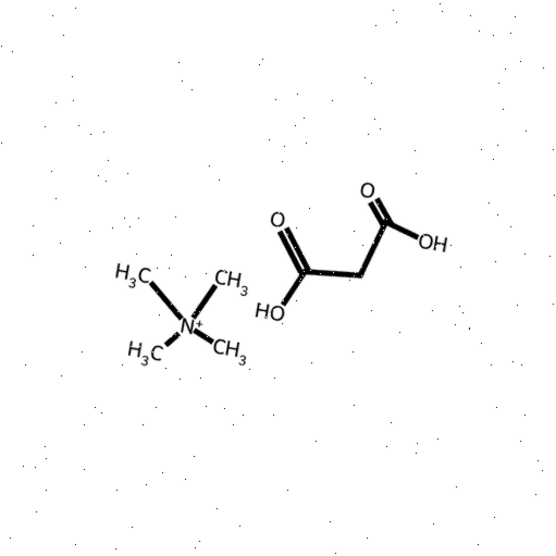 C[N+](C)(C)C.O=C(O)CC(=O)O